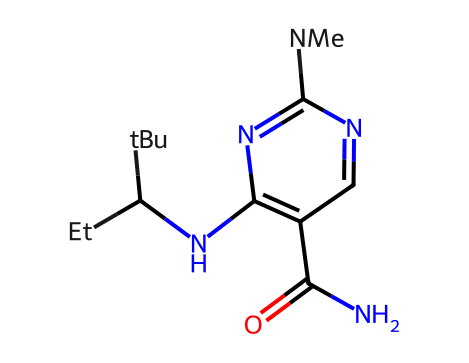 CCC(Nc1nc(NC)ncc1C(N)=O)C(C)(C)C